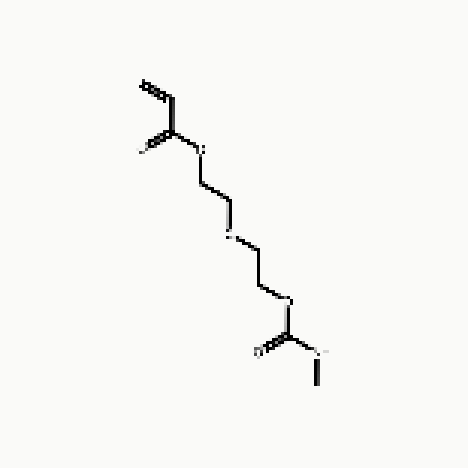 C=CC(=O)OCCOCCOC(=O)NC